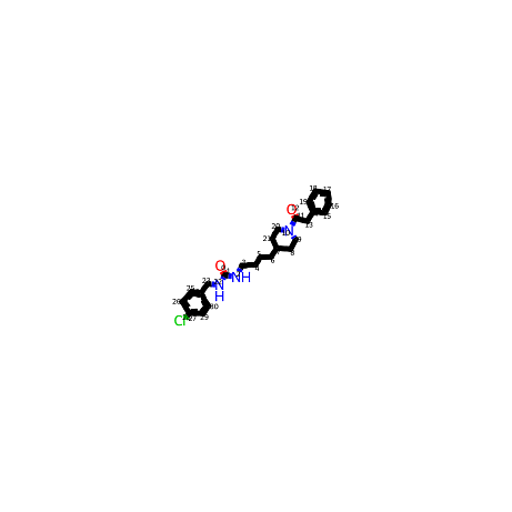 O=C(NCCCCC1CCN(C(=O)Cc2ccccc2)CC1)NCc1ccc(Cl)cc1